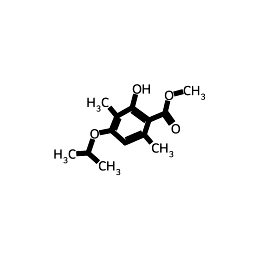 COC(=O)c1c(C)cc(OC(C)C)c(C)c1O